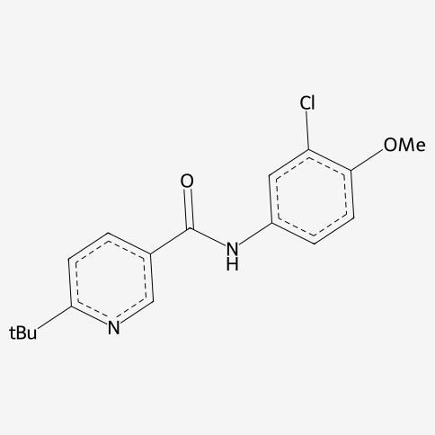 COc1ccc(NC(=O)c2ccc(C(C)(C)C)nc2)cc1Cl